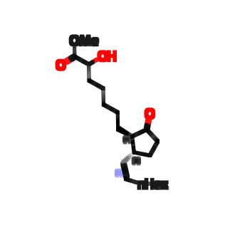 CCCCCC/C=C\[C@H]1CCC(=O)[C@@H]1CCCCCC(O)C(=O)OC